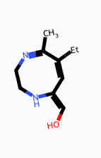 CCC1=C/C(=C/O)NCC/N=C\1C